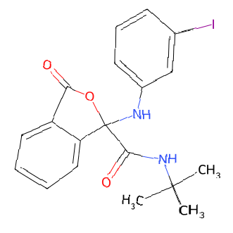 CC(C)(C)NC(=O)C1(Nc2cccc(I)c2)OC(=O)c2ccccc21